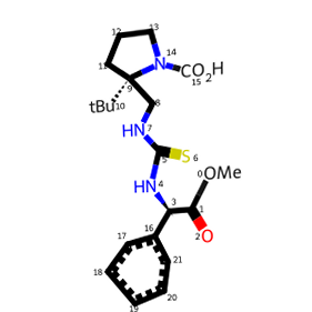 COC(=O)[C@H](NC(=S)NC[C@@]1(C(C)(C)C)CCCN1C(=O)O)c1ccccc1